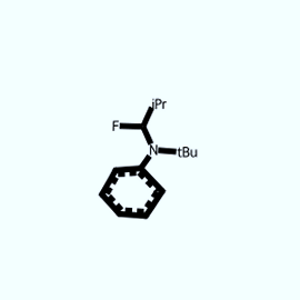 CC(C)C(F)N(c1ccccc1)C(C)(C)C